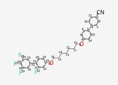 N#Cc1ccc(-c2ccc(OCCCCCCCOc3ccc(-c4cc(F)c(F)c(F)c4)c(F)c3)cc2)cc1